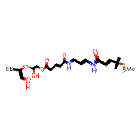 CCC(CO)OC(O)COC(=O)CCCC(=O)NCCCNC(=O)CCC(C)(C)SSC